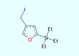 CC[Si](CC)(CC)c1cc(CI)co1